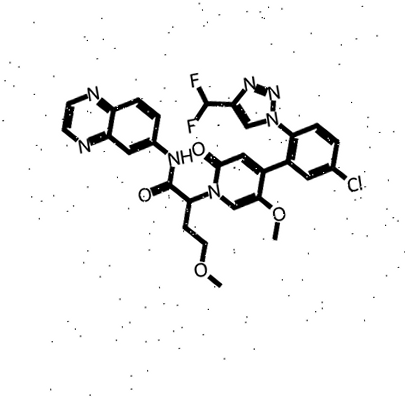 COCCC(C(=O)Nc1ccc2nccnc2c1)n1cc(OC)c(-c2cc(Cl)ccc2-n2cc(C(F)F)nn2)cc1=O